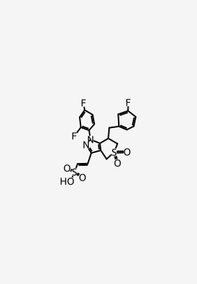 O=S(=O)(O)/C=C/c1nn(-c2ccc(F)cc2F)c2c1CS(=O)(=O)CC2Cc1cccc(F)c1